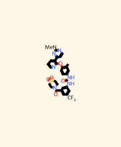 CNc1nccc(-c2cccnc2Oc2ccc(NC(=O)Nc3cc(C(=O)N4CCS(=O)(=O)CC4)cc(C(F)(F)F)c3)cc2C)n1